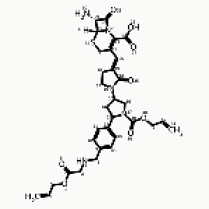 C=CCOC(=O)CNCc1ccc(C2CC(N3CC/C(=C\C4=C(C(=O)O)N5C(=O)[C@@H](N)[C@H]5SC4)C3=O)CN2C(=O)OCC=C)cc1